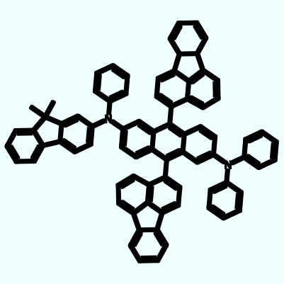 CC1(C)c2ccccc2-c2ccc(N(c3ccccc3)c3ccc4c(-c5ccc6c7c(cccc57)-c5ccccc5-6)c5cc(N(c6ccccc6)c6ccccc6)ccc5c(-c5ccc6c7c(cccc57)C5C=CC=CC65)c4c3)cc21